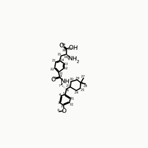 COc1ccc([C@H](CNC(=O)c2ccc(C[C@H](N)C(=O)O)cc2)C2CCC(C)(C)CC2)cc1